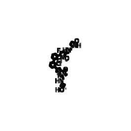 COc1nc(-c2cccc(-c3cccc(-c4cc5c(=O)n(C)c(CN[C@H]6C[C@](C)(O)C6)nn5c4)c3Cl)c2Cl)c(F)cc1CNC[C@@H]1CCC(=O)N1